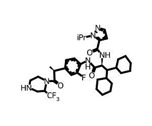 CC(C)n1nccc1C(=O)N[C@H](C(=O)Nc1ccc([C@H](C)C(=O)N2CCNCC2C(F)(F)F)cc1F)C(C1CCCCC1)C1CCCCC1